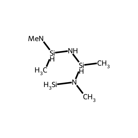 CN[SiH](C)N[SiH](C)N(C)[SiH3]